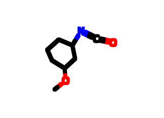 COC1CCCC(N=C=O)C1